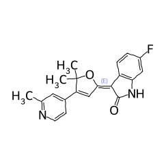 Cc1cc(C2=C/C(=C3\C(=O)Nc4cc(F)ccc43)OC2(C)C)ccn1